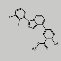 COC(=O)c1cc(-c2cccn3c(-c4cccc(F)c4F)ncc23)cnc1C